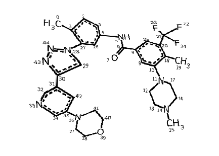 Cc1ccc(NC(=O)c2cc(N3CCN(C)CC3)c(C)c(C(F)(F)F)c2)cc1-n1cc(-c2cncc(N3CCOCC3)c2)nn1